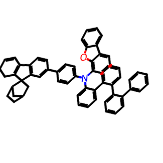 C1=CC2=C(CC1)C1(CC3CCC1C3)c1cc(-c3ccc(N(c4ccccc4-c4ccccc4-c4ccccc4-c4ccccc4)c4cccc5c4oc4ccccc45)cc3)ccc12